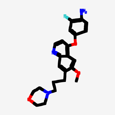 COc1cc2c(Oc3ccc(N)c(F)c3)ccnc2cc1CCCN1CCOCC1